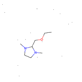 CCOCC1N(C)CCN1C